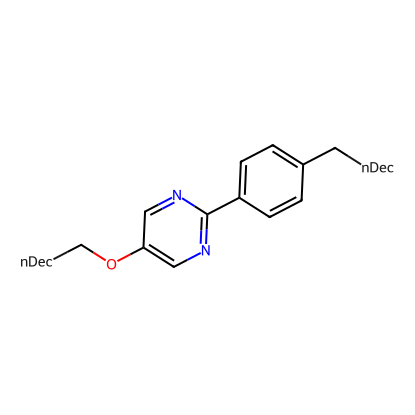 CCCCCCCCCCCOc1cnc(-c2ccc(CCCCCCCCCCC)cc2)nc1